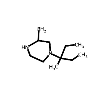 BC1CN(C(C)(CC)CC)CCN1